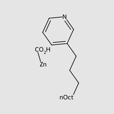 CCCCCCCCCCCc1cccnc1.O=[C](O)[Zn]